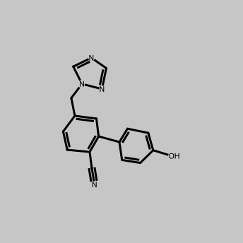 N#Cc1ccc(Cn2cncn2)cc1-c1ccc(O)cc1